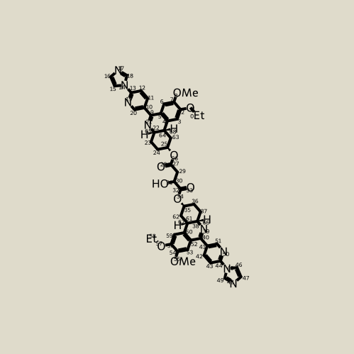 CCOc1cc2c(cc1OC)C(c1ccc(-n3ccnc3)nc1)=N[C@H]1CC[C@H](OC(=O)CC(O)C(=O)O[C@H]3CC[C@@H]4N=C(c5ccc(-n6ccnc6)nc5)c5cc(OC)c(OCC)cc5[C@@H]4C3)C[C@@H]21